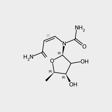 C=C(N)/C=C\N(C(N)=O)[C@@H]1O[C@H](C)[C@H](O)C1O